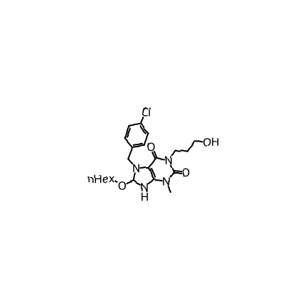 CCCCCCOC1Nc2c(c(=O)n(CCCO)c(=O)n2C)N1Cc1ccc(Cl)cc1